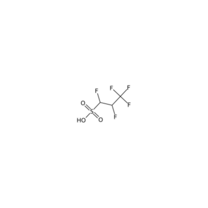 O=S(=O)(O)C(F)C(F)C(F)(F)F